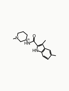 Cc1ccc2[nH]c(C(=O)N[C@@H]3CCCN(C)C3)c(C)c2c1